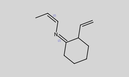 C=CC1CCCC/C1=N/C=C\C